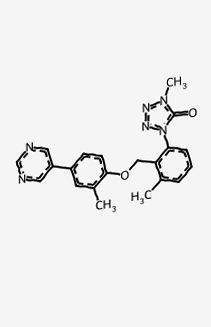 Cc1cc(-c2cncnc2)ccc1OCc1c(C)cccc1-n1nnn(C)c1=O